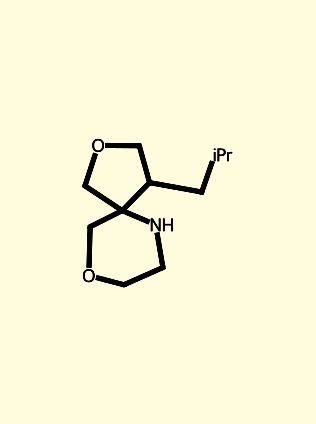 CC(C)CC1COCC12COCCN2